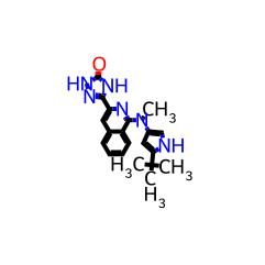 CN(c1c[nH]c(C(C)(C)C)c1)c1nc(-c2n[nH]c(=O)[nH]2)cc2ccccc12